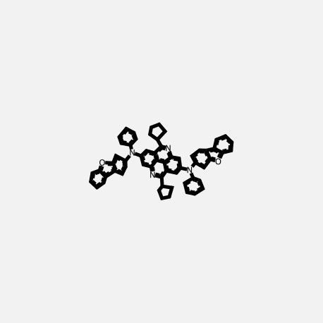 c1ccc(N(c2ccc3c(c2)oc2ccccc23)c2cc3nc(C4CCCC4)c4cc(N(c5ccccc5)c5ccc6c(c5)oc5ccccc56)cc5nc(C6CCCC6)c(c2)c3c54)cc1